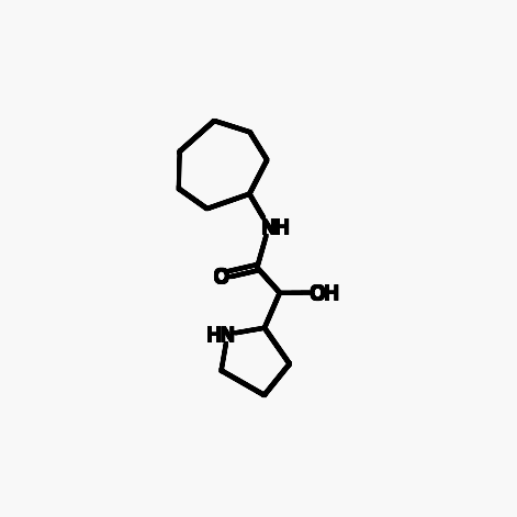 O=C(NC1CCCCCC1)C(O)C1CCCN1